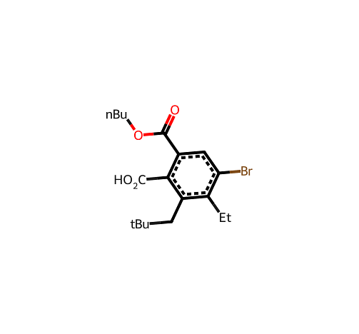 CCCCOC(=O)c1cc(Br)c(CC)c(CC(C)(C)C)c1C(=O)O